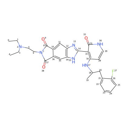 CCN(CC)CCN1C(=O)c2cc3nc(-c4c(NC(C)Cc5ccccc5F)cc[nH]c4=O)[nH]c3cc2C1=O